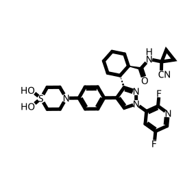 N#CC1(NC(=O)[C@@H]2CCCC[C@H]2c2nn(-c3cc(F)cnc3F)cc2-c2ccc(N3CCS(O)(O)CC3)cc2)CC1